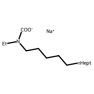 CCCCCCCCCCCCN(CC)C(=O)[O-].[Na+]